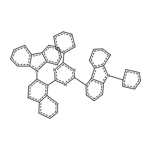 c1ccc(-c2nc(-c3c(-n4c5ccccc5c5ccccc54)ccc4ccccc34)nc(-c3cccc4c3c3ccccc3n4-c3ccccc3)n2)cc1